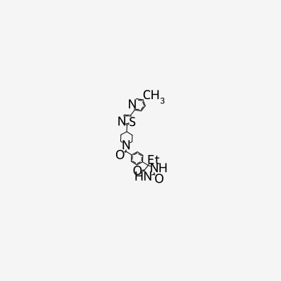 CCC1(c2ccc(C(=O)N3CCC(c4ncc(-c5ccc(C)cn5)s4)CC3)cc2)NC(=O)NC1=O